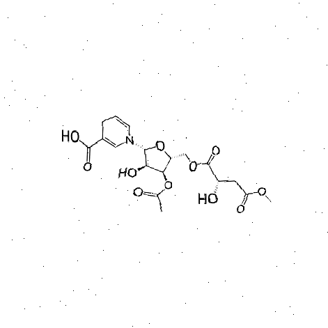 COC(=O)C[C@H](O)C(=O)OC[C@H]1O[C@@H](N2C=CCC(C(=O)O)=C2)[C@H](O)[C@@H]1OC(C)=O